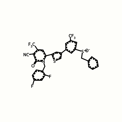 N#Cc1c(C(F)(F)F)cc(-c2cc(-c3cc([S+]([O-])Cc4ccccc4)cc(C(F)(F)F)c3)cs2)n(Cc2ccc(F)cc2F)c1=O